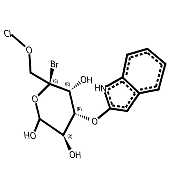 OC1O[C@](Br)(COCl)[C@H](O)[C@H](Oc2cc3ccccc3[nH]2)[C@H]1O